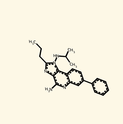 CCCc1nc2c(N)nc3cc(-c4ccccc4)ccc3c2n1NC(C)C